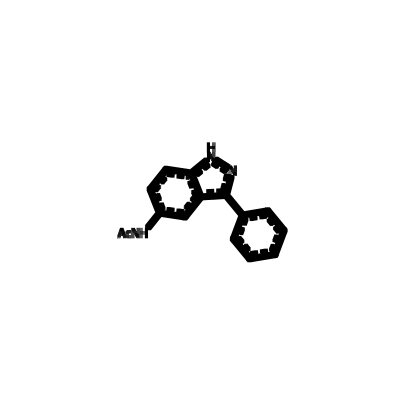 CC(=O)Nc1ccc2[nH]nc(-c3ccccc3)c2c1